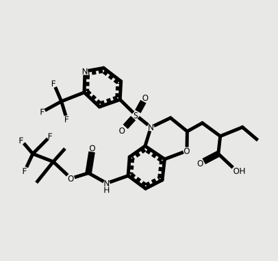 CCC(CC1CN(S(=O)(=O)c2ccnc(C(F)(F)F)c2)c2cc(NC(=O)OC(C)(C)C(F)(F)F)ccc2O1)C(=O)O